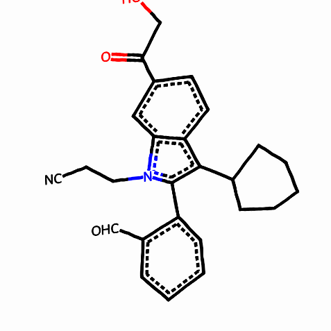 N#CCCn1c(-c2ccccc2C=O)c(C2CCCCC2)c2ccc(C(=O)CO)cc21